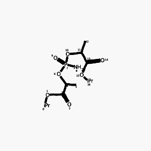 CC(C)OC(=O)C(C)OP(N)(=O)OC(C)C(=O)OC(C)C